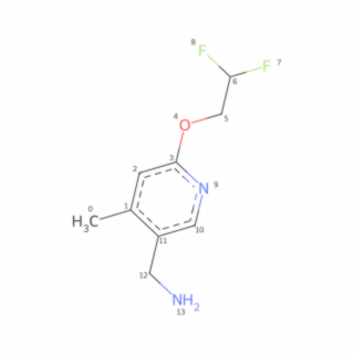 Cc1cc(OCC(F)F)ncc1CN